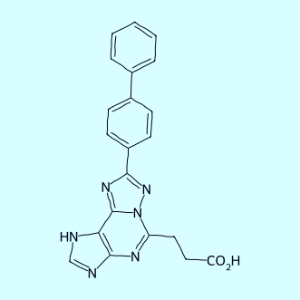 O=C(O)CCc1nc2nc[nH]c2c2nc(-c3ccc(-c4ccccc4)cc3)nn12